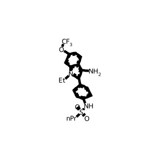 CCCS(=O)(=O)Nc1ccc(-c2c(N)c3ccc(OC(F)(F)F)cc3n2CC)cc1